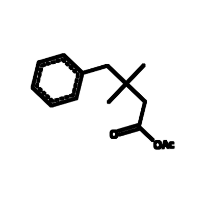 CC(=O)OC(=O)CC(C)(C)Cc1ccccc1